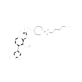 CCOc1c(-c2cn[nH]c2)ccn2nc(N[C@H]3CCN(S(=O)(=O)CCCCO)C[C@H]3C)nc12